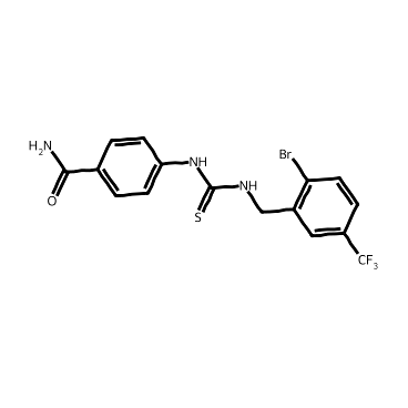 NC(=O)c1ccc(NC(=S)NCc2cc(C(F)(F)F)ccc2Br)cc1